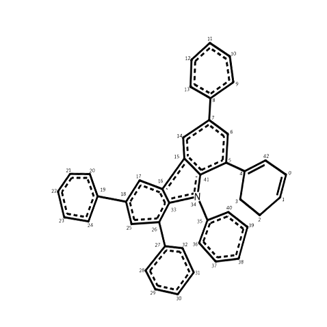 C1=CCCC(c2cc(-c3ccccc3)cc3c4cc(-c5ccccc5)cc(-c5ccccc5)c4n(-c4ccccc4)c23)=C1